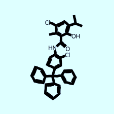 Cc1c(Cl)cc(C(C)C)c(O)c1C(=O)Nc1ccc(C(c2ccccc2)(c2ccccc2)c2ccccc2)cc1Cl